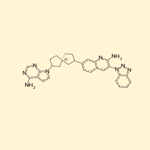 Nc1nc2cc(C3CC[C@]4(CCC(n5ccc6c(N)ncnc65)C4)C3)ccc2cc1-n1nnc2ccccc21